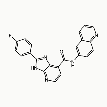 O=C(Nc1ccc2ncccc2c1)c1ccnc2[nH]c(-c3ccc(F)cc3)nc12